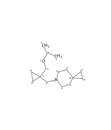 CC(C)OCC1(CN2CCC3(CC2)CC3)CC1